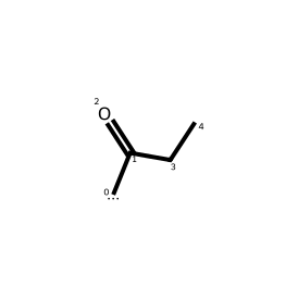 [C]C(=O)CC